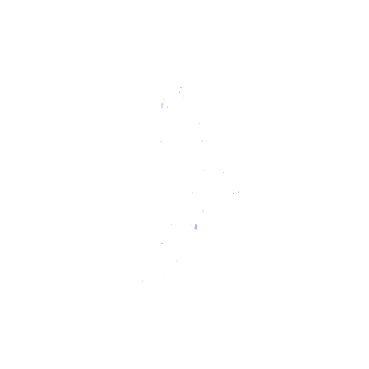 c1ccc(CNc2cncc(-c3ccc4[nH]ncc4c3)c2)cc1